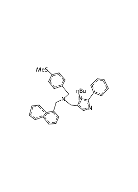 CCCCn1c(CN(Cc2ccc(SC)cc2)Cc2cccc3ccccc23)cnc1-c1ccccc1